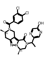 CC(c1cnc(O)cn1)N1C[C@@H](C)n2nc3c(c2C1=O)CN(C(=O)c1ccc(Cl)c(Cl)c1)[C@H](C)C3